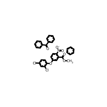 COC(=O)c1cc(Oc2ccc(Cl)cc2Cl)ccc1[N+](=O)[O-].O=C(c1ccccc1)c1ccccc1.c1ccccc1